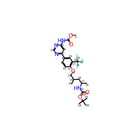 COC(=O)Nc1cc(-c2ccc(OCC(C)CC(C)NC(=O)OC(C)(C)C)c(C(F)(F)F)c2)ncn1